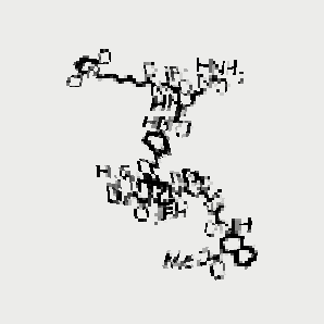 CCCO[C@H](C[C@H](C(C)C)N(CCC)C(=O)[C@@H](NC(=O)[C@H]([C@@H](C)CC)N(C)C(=O)OCc1ccc(NC(=O)[C@H](CCCNC(N)=O)NC(=O)[C@@H](NC(=O)CCCCCN2C(=O)C=CC2=O)C(C)C)cc1)[C@@H](C)CC)c1nc(C(=O)N[C@H]2Cc3ccccc3[C@H](C(=O)OC)C2)cs1